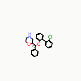 Clc1ccccc1-c1ccccc1O[C@@H](c1ccccc1)C1CNCCO1